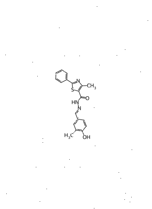 Cc1cc(/C=N/NC(=O)c2sc(-c3ccccc3)nc2C)ccc1O